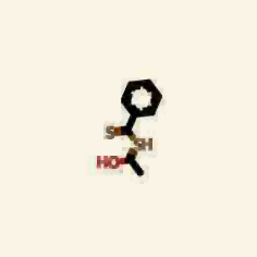 CC(O)=[SH]C(=S)c1ccccc1